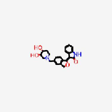 O=C1Nc2ccccc2/C1=C1/OCc2cc(CN3CCC(O)C(O)C3)ccc21